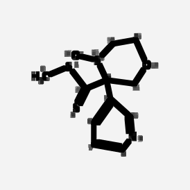 CSC(=S)C1(c2cccnc2)COCC[S+]1[O-]